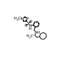 C[C@@H](CC1CCCCCC1)NCc1ccccc1NS(=O)(=O)c1cn(C)cn1